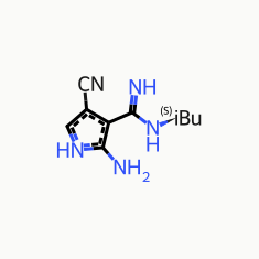 CC[C@H](C)NC(=N)c1c(C#N)c[nH]c1N